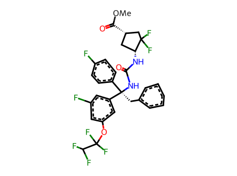 COC(=O)[C@H]1C[C@@H](NC(=O)N[C@](Cc2ccccc2)(c2ccc(F)cc2)c2cc(F)cc(OC(F)(F)C(F)F)c2)C(F)(F)C1